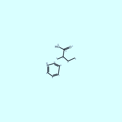 CCC(C)C(=O)O.c1ccncc1